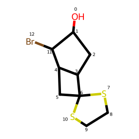 OC1CC2C(CC23SCCS3)C1Br